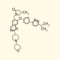 CC1CC(=O)N(Cc2cc3cnc(C4CCN(C5CCOCC5)CC4)nc3cc2Oc2ccc(-c3ccc(C(C)C)nn3)cc2)C1